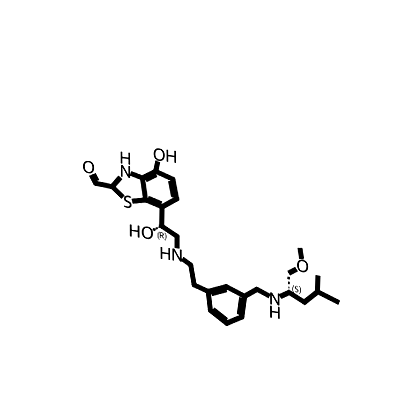 COC[C@H](CC(C)C)NCc1cccc(CCNC[C@H](O)c2ccc(O)c3c2SC(C=O)N3)c1